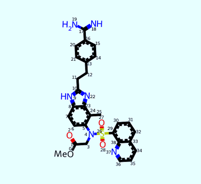 COC(=O)CN(c1ccc2[nH]c(CCc3ccc(C(=N)N)cc3)nc2c1C)S(=O)(=O)c1cccc2cccnc12